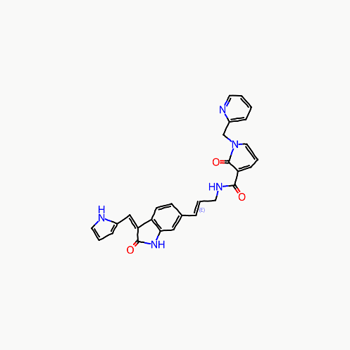 O=C1Nc2cc(/C=C/CNC(=O)c3cccn(Cc4ccccn4)c3=O)ccc2C1=Cc1ccc[nH]1